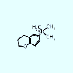 [CH3][Sn]([CH3])([CH3])[c]1ccc2c(c1)CCCO2